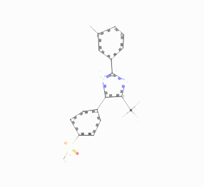 Cc1cccc(-c2nc(C(F)(F)F)c(-c3ccc(S(C)(=O)=O)cc3)[nH]2)c1